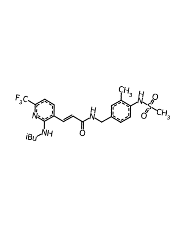 CCC(C)Nc1nc(C(F)(F)F)ccc1C=CC(=O)NCc1ccc(NS(C)(=O)=O)c(C)c1